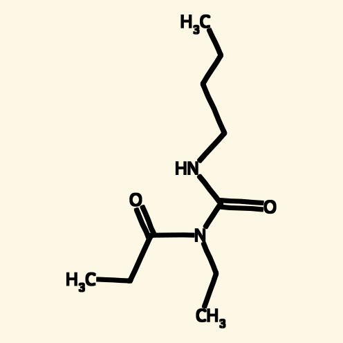 CCCCNC(=O)N(CC)C(=O)CC